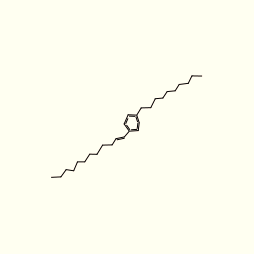 CCCCCCCCCCC=Cc1ccc(CCCCCCCCCC)cc1